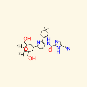 [2H]C1C([2H])C2(CO)CC(c3ccc(NC(=O)c4ncc(C#N)[nH]4)c(C4=CCC(C)(C)CC4)n3)=CC1(CO)O2